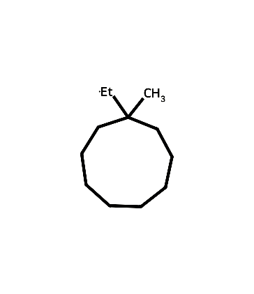 C[CH]C1(C)CCCCCCCC1